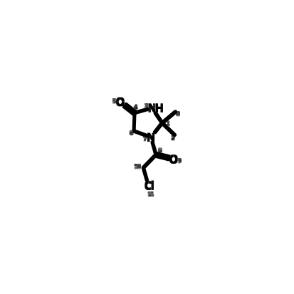 CC1(C)NC(=O)CN1C(=O)CCl